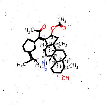 CC(=O)O[C@H]1C[C@@]2(C)[C@@H](C[C@@H](N)[C@H]3[C@@]4(C)CC[C@@H](O)[C@@H](C)[C@@H]4CC[C@@]32C)/C1=C(/C(C)=O)C1CCCC(=C(C)C)C1